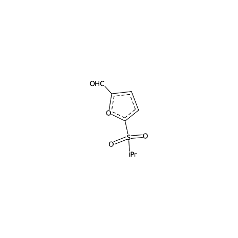 CC(C)S(=O)(=O)c1ccc(C=O)o1